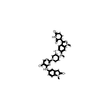 CN1C(=O)Cc2cc(Nc3nc(N4CC[C@@H](N(C)c5ccc6c(C7CCC(=O)NC7=O)nn(C)c6c5)[C@H](F)C4)ncc3Cl)ccc21